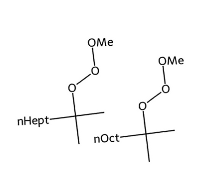 CCCCCCCC(C)(C)OOOC.CCCCCCCCC(C)(C)OOOC